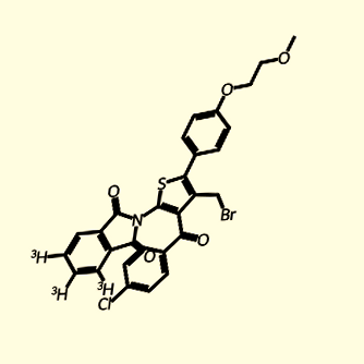 [3H]c1cc2c(c([3H])c1[3H])C(=O)N(c1sc(-c3ccc(OCCOC)cc3)c(CBr)c1C(=O)c1ccc(Cl)cc1)C2=O